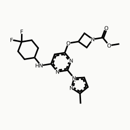 COC(=O)N1CC(Oc2cc(NC3CCC(F)(F)CC3)nc(-n3ccc(C)n3)n2)C1